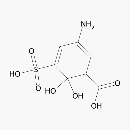 NC1=CC(C(=O)O)C(O)(O)C(S(=O)(=O)O)=C1